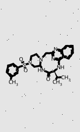 Cc1cccc(S(=O)(=O)N2CCN3Cc4nc(c5ccccc5n4)N[C@@H](C(C)C)C(=O)NC3C2)c1